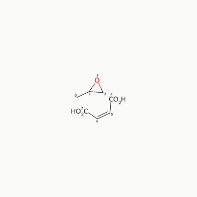 CC1CO1.O=C(O)/C=C\C(=O)O